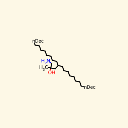 CCCCCCCCCCCCCCCCCCC(CCCCCCCCCCCCCCCCCC)CC(C)(O)CN